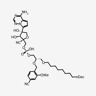 CCCCCCCCCCCCCCCCCCOC[C@@H](COP(=O)(O)OC[C@@]1(C#N)OC[C@](O)(c2ccc3c(N)ncnn23)[C@@H]1O)OCc1ccc(C#N)cc1OC